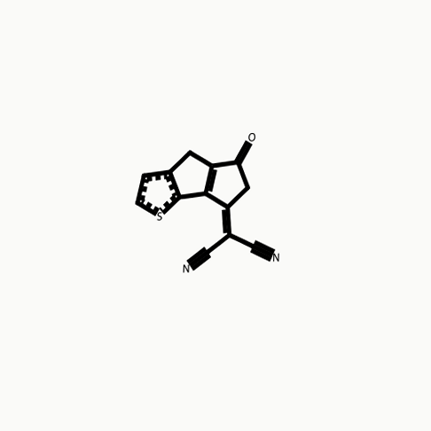 N#CC(C#N)=C1CC(=O)C2=C1c1sccc1C2